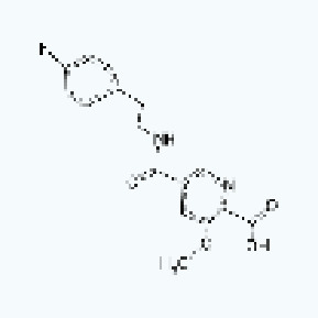 COc1cc(C(=O)NCCc2ccc(F)cc2)cnc1C(=O)O